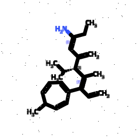 C=C/C(C1=CC=CC(C)C=C1)=C(\C)[C@@H](C(=C)/C=C(/N)CC)C(C)C